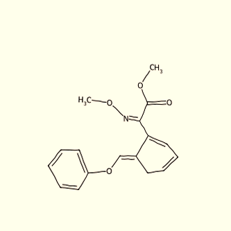 CON=C(C(=O)OC)C1=CC=CCC1=COc1ccccc1